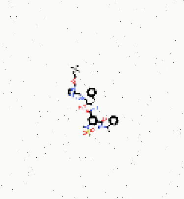 C[C@@H](NC(=O)c1cc(C(=O)N[C@@H](Cc2ccccc2)[C@H](O)CNCc2nccn2COCC[Si](C)(C)C)cc(N(C)S(C)(=O)=O)c1)c1ccccc1